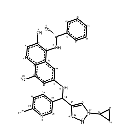 CC[C@@H](Nc1c(C#N)cnc2c(C#N)cc(NC(C3=CN(C4CC4)NN3)c3ccc(F)nc3)cc12)c1ccccc1